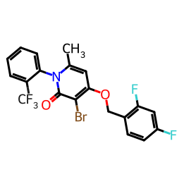 Cc1cc(OCc2ccc(F)cc2F)c(Br)c(=O)n1-c1ccccc1C(F)(F)F